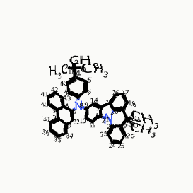 CC(C)(C)c1ccc(N(c2ccc3c(c2)c2cccc4c2n3-c2ccccc2C4(C)C)c2cc3ccccc3c3ccccc23)cc1